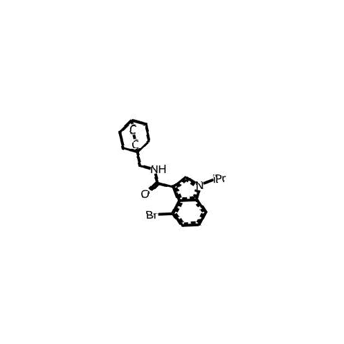 CC(C)n1cc(C(=O)NCC23CCC(CC2)CC3)c2c(Br)cccc21